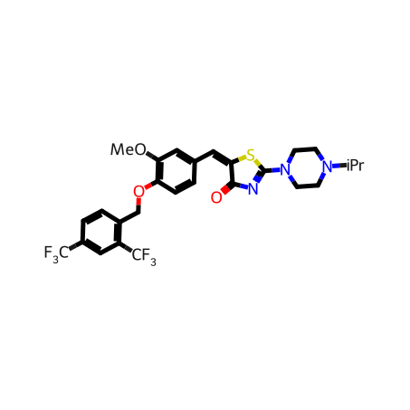 COc1cc(C=C2SC(N3CCN(C(C)C)CC3)=NC2=O)ccc1OCc1ccc(C(F)(F)F)cc1C(F)(F)F